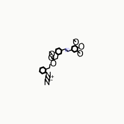 COc1ccc(/C=C/c2cc(OC)c(OC)c(OC)c2)cc1CC(=O)OCCc1ccccc1N=[N+]=[N-]